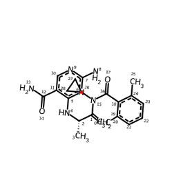 C=C([C@H](C)Nc1nc(N)ncc1C(N)=O)N(C(=O)c1c(C)cccc1C)C1CC1